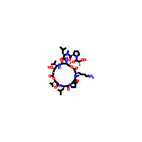 CC(C)C[C@@H]1NC(=O)[C@H](C(C)C)OC(=O)C[C@H](O)[C@H](C(C)C)NC(=O)[C@H](NC(=O)[C@@H](CC(C)C)N(C)C(=O)[C@@H]2CCCN2C(=O)[C@@H](C)O)[C@H](C)OC(=O)[C@H](CCCCN)N(C)C(=O)[C@@H]2CCCN2C1=O